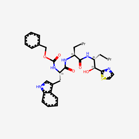 CC(C)C[C@H](NC(=O)[C@H](Cc1c[nH]c2ccccc12)NC(=O)OCc1ccccc1)C(=O)N[C@H](CC(C)C)[C@H](O)c1nccs1